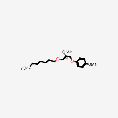 CCCCCCCCCCCCCCCCOC[C@H](COc1ccc(OC)cc1)OC